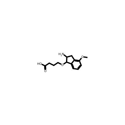 COc1cccc2c1CC(N)C2OCCCC(=O)O